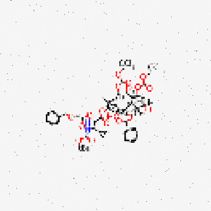 CC(=O)O[C@@]12CO[C@@H]1C[C@H](OC(=O)OCC(Cl)(Cl)Cl)[C@@]1(C)C(=O)[C@H](OC(=O)OCC(Cl)(Cl)Cl)C3=C(C)[C@@H](OC(=O)C(OC(=O)COCc4ccccc4)C(NC(=O)OC(C)(C)C)C4CC4)C[C@@](O)([C@@H](OC(=O)c4ccccc4)[C@H]21)C3(C)C